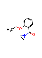 CCOc1ccccc1C(=O)N1CC1